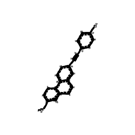 CCCc1ccc2c(ccc3cc(C#Cc4ccc(Cl)cc4)ccc32)c1